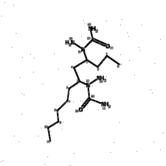 [CH2]CCC(CC(CCCCCC)N(N)C(N)=O)N(N)C(N)=O